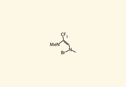 CN/C(=C\N(C)Br)C(F)(F)F